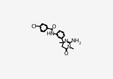 CN1C(=O)CC(C)(c2cccc(NC(=O)c3ccc(Cl)cc3)c2)N=C1N